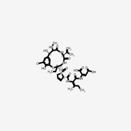 C=C(C)[C@@H]1NC(=O)C(NC)[C@@H](O)c2cc(Cl)c(O)c(c2)O[C@](C)(CC)[C@@H](C(=O)N2CC=C[C@H]2C(=O)N/C(C(=O)N/C(=C/C(=O)O)C(=O)O)=C(\C)CC)NC1=O